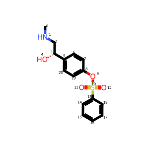 CNC[C@@H](O)c1ccc(OS(=O)(=O)c2ccccc2)cc1